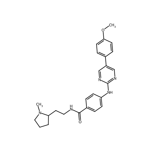 COc1ccc(-c2cnc(Nc3ccc(C(=O)NCCC4CCCN4C)cc3)nc2)cc1